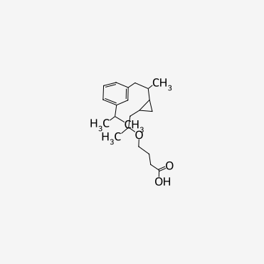 CC(CC1CC1C(C)Cc1cccc(C(C)C)c1)OCCCC(=O)O